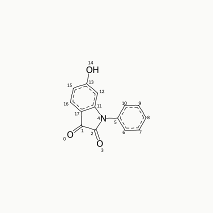 O=C1C(=O)N(c2ccccc2)c2cc(O)ccc21